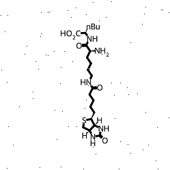 CCCC[C@H](NC(=O)[C@@H](N)CCCCNC(=O)CCCC[C@@H]1SC[C@@H]2NC(=O)N[C@@H]21)C(=O)O